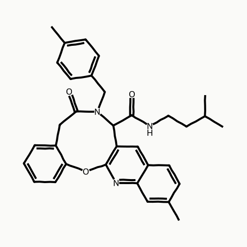 Cc1ccc(CN2C(=O)Cc3ccccc3Oc3nc4cc(C)ccc4cc3C2C(=O)NCCC(C)C)cc1